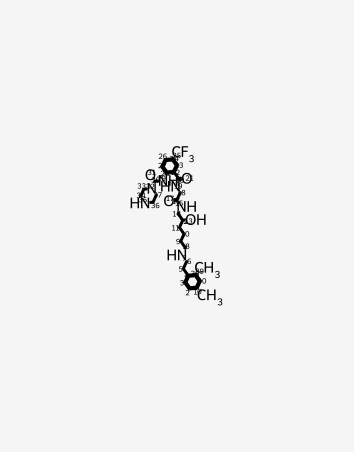 Cc1ccc(CCNCCCCC(O)CNC(=O)CNC(=O)c2cc(C(F)(F)F)ccc2NC(=O)N2CCNCC2)c(C)c1